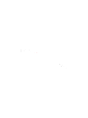 O=[N+]([O-])c1ccc(COS(=O)(=O)O)cc1